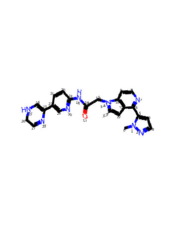 Cn1nccc1-c1nccc2c1ccn2CC(=O)Nc1ccc(C2=CNCC=N2)cn1